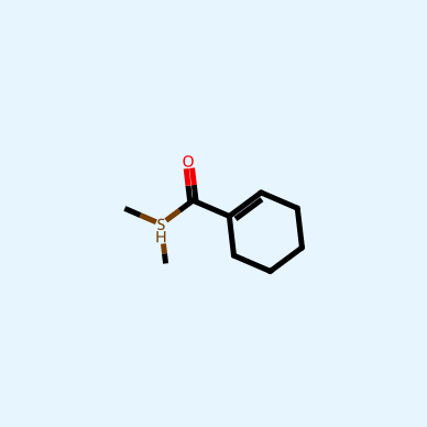 C[SH](C)C(=O)C1=CCCCC1